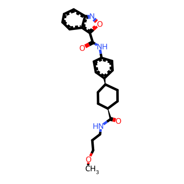 COCCCNC(=O)[C@H]1CC[C@@H](c2ccc(NC(=O)c3onc4ccccc34)cc2)CC1